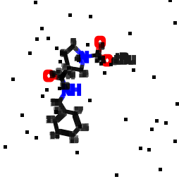 CC(C)(C)OC(=O)N1CC[C@H](C(=O)NCc2ccccc2)C1